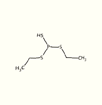 CCSP(S)SCC